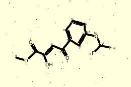 COC(=O)C(O)=CC(=O)c1cccc(OC(F)F)c1